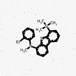 CCc1ccccc1N(C)c1cccc2c1sc1c([Si](C)(C)C)cccc12